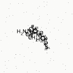 C=C1OC(N)=N[C@](C)(c2cc(NC(=O)c3ccc(OCC4CC4)nc3)ccc2F)C1(F)F